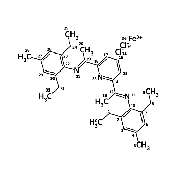 CCc1cc(C)cc(CC)c1N=C(C)c1cccc(C(C)=Nc2c(CC)cc(C)cc2CC)n1.[Cl-].[Cl-].[Fe+2]